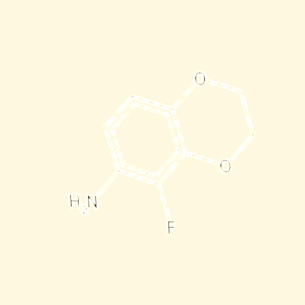 Nc1ccc2c(c1F)OCCO2